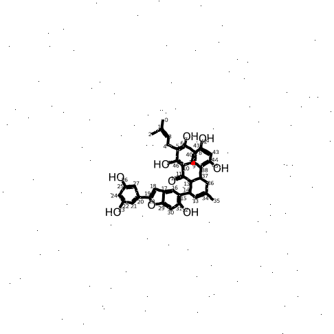 CC(C)=CCc1c(O)ccc(C(=O)C2C(c3cc4cc(-c5cc(O)cc(O)c5)oc4cc3O)C=C(C)CC2c2ccc(O)cc2O)c1O